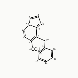 O=C(O)c1ccn2ccnc2c1Cc1ccccc1